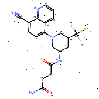 N#Cc1ccc(N2C[C@H](NC(=O)CCC(N)=O)C[C@H](C(F)(F)F)C2)c2cccnc12